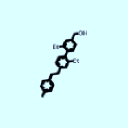 CCc1cc(CO)ccc1-c1ccc(CCc2ccc(C)cc2)cc1CC